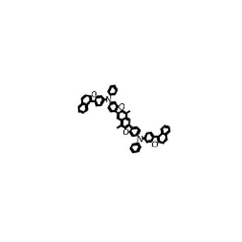 Cc1c2cc3c(oc4cc(N(c5ccccc5)c5ccc6c(c5)oc5ccc7ccccc7c56)ccc43)c(C)c2cc2c1oc1cc(N(c3ccccc3)c3ccc4c(c3)oc3ccc5ccccc5c34)ccc12